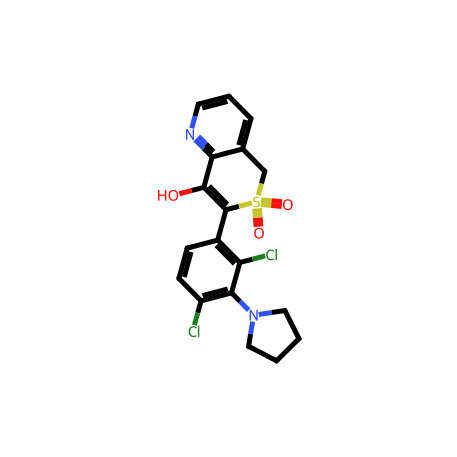 O=S1(=O)Cc2cccnc2C(O)=C1c1ccc(Cl)c(N2CCCC2)c1Cl